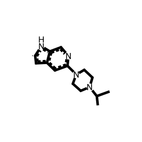 CC(C)N1CCN(c2cc3c[c][nH]c3cn2)CC1